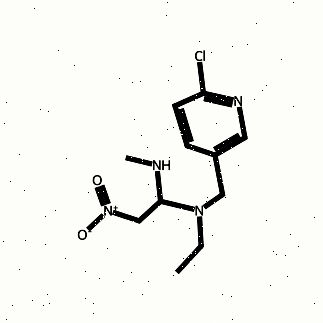 CCN(Cc1ccc(Cl)nc1)C(C[N+](=O)[O-])NC